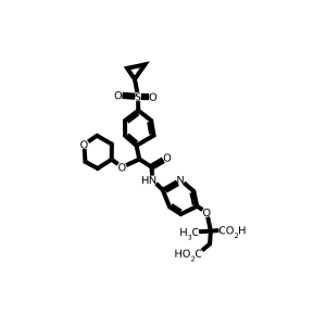 CC(CC(=O)O)(Oc1ccc(NC(=O)C(OC2CCOCC2)c2ccc(S(=O)(=O)C3CC3)cc2)nc1)C(=O)O